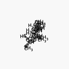 C#CCCC(NC(=O)[C@@H]1C2[C@H](CN1C(=O)[C@@H](NC(=O)NC1(CS(=O)(=O)C(C)(C)C)CCCCC1)C(C)(C)C)C2(C)C)C(=O)C(=O)NCCSC